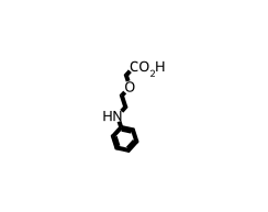 O=C(O)COCCNc1ccccc1